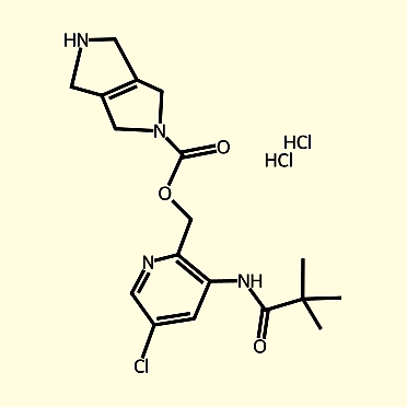 CC(C)(C)C(=O)Nc1cc(Cl)cnc1COC(=O)N1CC2=C(CNC2)C1.Cl.Cl